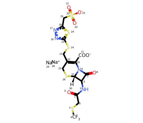 O=C(CSC(F)(F)F)NC1C(=O)N2C(C(=O)[O-])=C(CSc3nnc(CS(=O)(=O)[O-])s3)CS[C@@H]12.[Na+].[Na+]